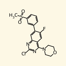 CS(=O)(=O)c1cccc(-c2cc3nc(Cl)nc(N4CCOCC4)c3cc2F)c1